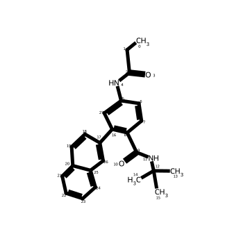 CCC(=O)Nc1ccc(C(=O)NC(C)(C)C)c(-c2ccc3ccccc3c2)c1